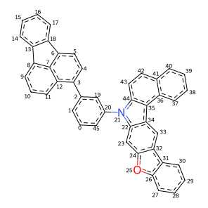 c1cc(-c2ccc3c4c(cccc24)-c2ccccc2-3)cc(-n2c3cc4oc5ccccc5c4cc3c3c4ccccc4ccc32)c1